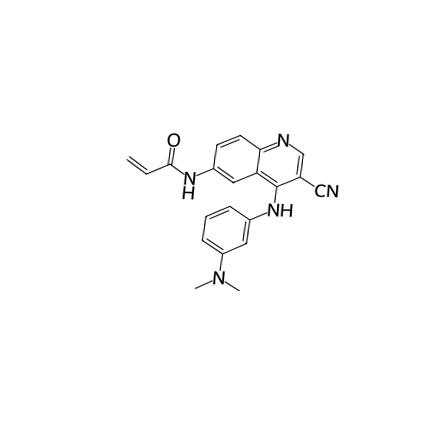 C=CC(=O)Nc1ccc2ncc(C#N)c(Nc3cccc(N(C)C)c3)c2c1